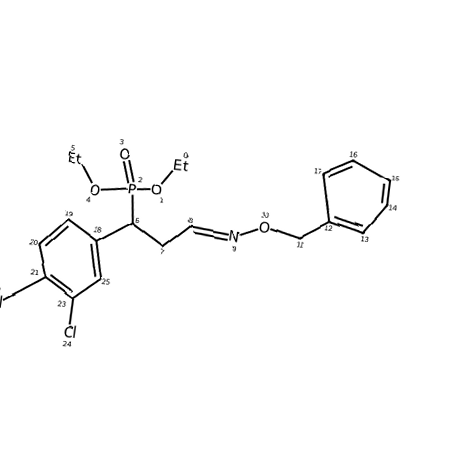 CCOP(=O)(OCC)C(C/C=N/OCc1ccccc1)c1ccc(Cl)c(Cl)c1